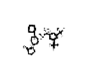 C[C@@H](OC[C@@]1(c2ccccc2)CC[C@H](N2CCCC2=O)CN1)c1cc(C(F)(F)F)cc(C(F)(F)F)c1